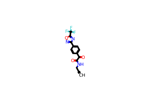 C#CCNC(=O)C(=O)c1ccc(-c2noc(C(F)(F)F)n2)cc1